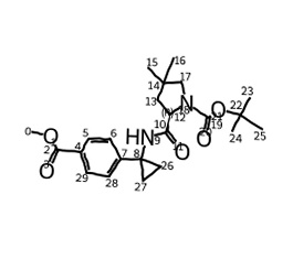 COC(=O)c1ccc(C2(NC(=O)[C@H]3CC(C)(C)CN3C(=O)OC(C)(C)C)CC2)cc1